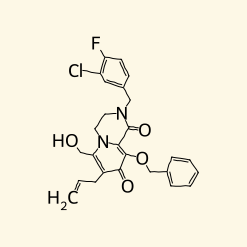 C=CCc1c(CO)n2c(c(OCc3ccccc3)c1=O)C(=O)N(Cc1ccc(F)c(Cl)c1)CC2